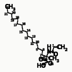 C=CC(=O)NC(C)(CCCCCCCCCCCCCCCC)S(=O)(=O)O